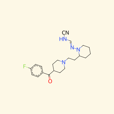 N#CN/C=N/N1CCCCC1CCN1CCC(C(=O)c2ccc(F)cc2)CC1